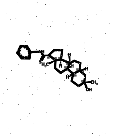 C[C@@]1(O)CC[C@H]2[C@H](CC[C@@H]3[C@@H]2CC[C@]2(C)[C@@H](C(=S)Nc4ccccc4)CC[C@@H]32)C1